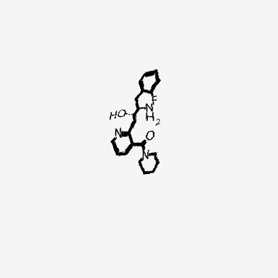 N[C@H](Cc1ccccc1F)[C@@H](O)Cc1ncccc1C(=O)N1CCCCC1